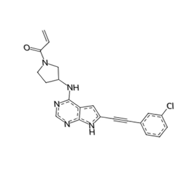 C=CC(=O)N1CCC(Nc2ncnc3[nH]c(C#Cc4cccc(Cl)c4)cc23)C1